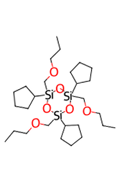 CCCOC[Si]1(C2CCCC2)O[Si](COCCC)(C2CCCC2)O[Si](COCCC)(C2CCCC2)O1